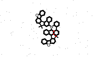 CC1(C)c2cc(N(c3ccccc3-c3ccccc3)c3cc4c(c5ccccc35)-c3c(ccc5oc6ccccc6c35)C4(C)C)c3ccccc3c2-c2c1ccc1oc3ccccc3c21